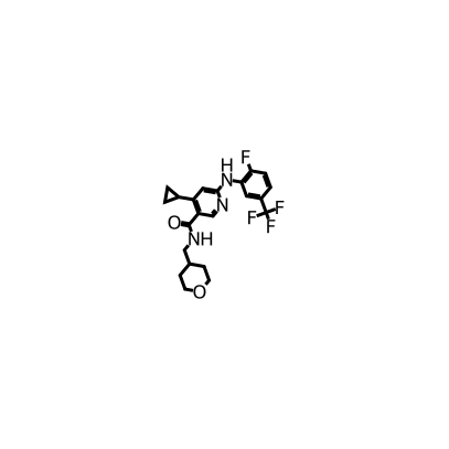 O=C(NCC1CCOCC1)c1cnc(Nc2cc(C(F)(F)F)ccc2F)cc1C1CC1